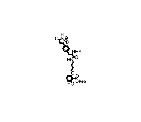 COC(=O)c1c(O)cccc1OCCCCNC(=O)[C@H](Cc1ccc(C2CC(=O)NS2(=O)=O)cc1)NC(C)=O